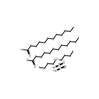 CCCCCCCCCCCC(=O)[O-].CCCCCCCCCCCC(=O)[O-].CCC[CH2][Sn+4][CH2]CCC.[N-]=C=O.[N-]=C=O